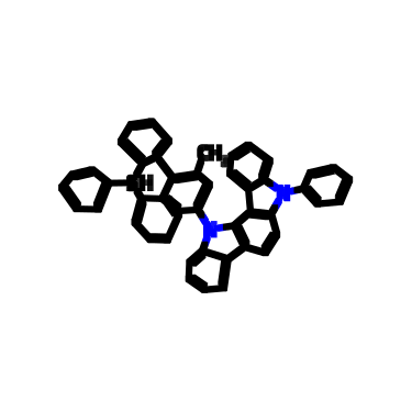 Cc1cc(-n2c3ccccc3c3ccc4c(c5ccccc5n4-c4ccccc4)c32)ccc1-c1ccccc1[SiH](c1ccccc1)c1ccccc1